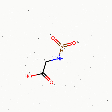 O=C(O)CN[SH](=O)=O